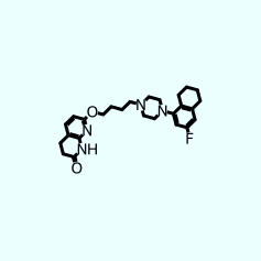 O=C1CCc2ccc(OCCCCN3CCN(c4cc(F)cc5c4CCCC5)CC3)nc2N1